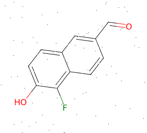 O=Cc1ccc2c(F)c(O)ccc2c1